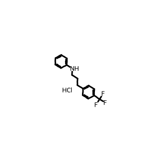 Cl.FC(F)(F)c1ccc(CCCNc2ccccc2)cc1